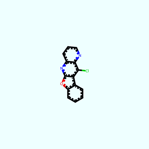 Clc1c2ncccc2nc2oc3ccccc3c12